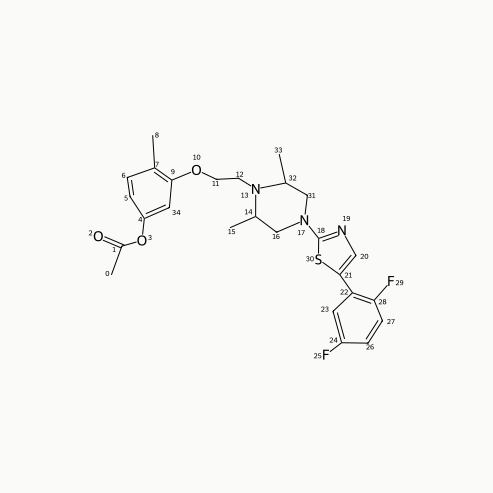 CC(=O)Oc1ccc(C)c(OCCN2C(C)CN(c3ncc(-c4cc(F)ccc4F)s3)CC2C)c1